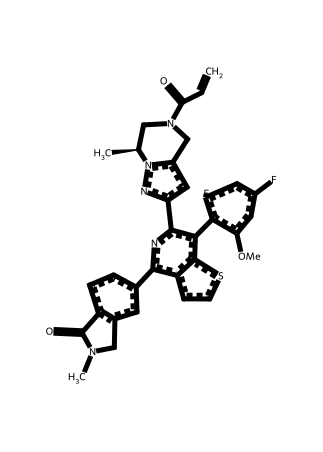 C=CC(=O)N1Cc2cc(-c3nc(-c4ccc5c(c4)CN(C)C5=O)c4ccsc4c3-c3c(F)cc(F)cc3OC)nn2[C@@H](C)C1